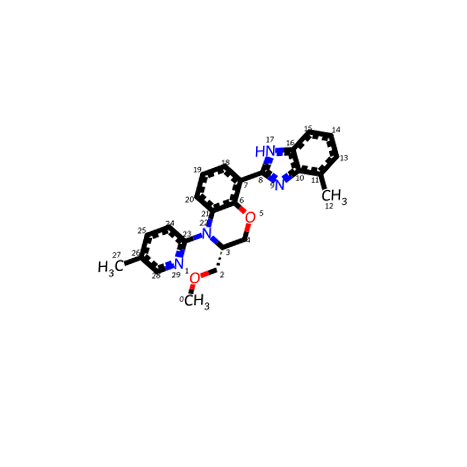 COC[C@H]1COc2c(-c3nc4c(C)cccc4[nH]3)cccc2N1c1ccc(C)cn1